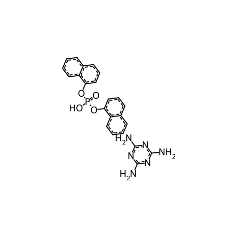 Nc1nc(N)nc(N)n1.O=P(O)(Oc1cccc2ccccc12)Oc1cccc2ccccc12